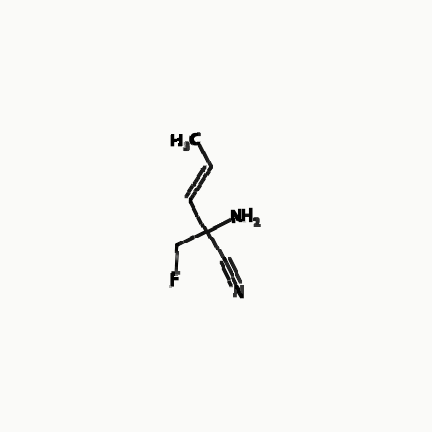 C/C=C/C(N)(C#N)CF